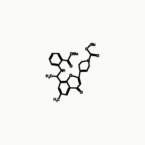 COC(=O)c1ccccc1NC(C)c1cc(C)cc2c(=O)cc(C3=CCN(C(=O)OC(C)(C)C)CC3)oc12